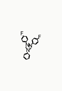 Fc1ccc(N2CN(c3ccccc3)CN2c2ccc(F)cc2)cc1